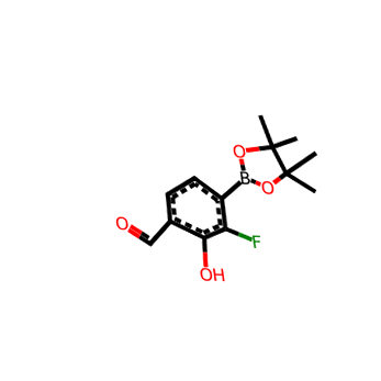 CC1(C)OB(c2ccc(C=O)c(O)c2F)OC1(C)C